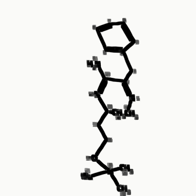 C/N=C(Cc1ccccc1)\C(N)=N/[C@H](C)CCO[Si](C)(C)C(C)(C)C